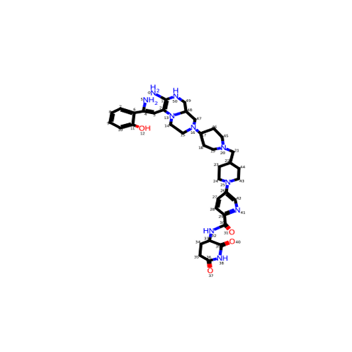 NC1=C(/C=C(\N)c2ccccc2O)N2CCN(C3CCN(CC4CCN(c5ccc(C(=O)NC6CCC(=O)NC6=O)nc5)CC4)CC3)CC2CN1